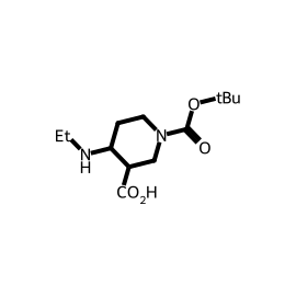 CCNC1CCN(C(=O)OC(C)(C)C)CC1C(=O)O